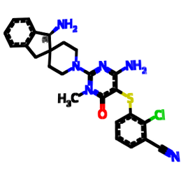 Cn1c(N2CCC3(CC2)Cc2ccccc2[C@H]3N)nc(N)c(Sc2cccc(C#N)c2Cl)c1=O